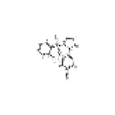 Cc1ccccc1S(=O)(=O)N1CCCC1c1ccc(F)cc1